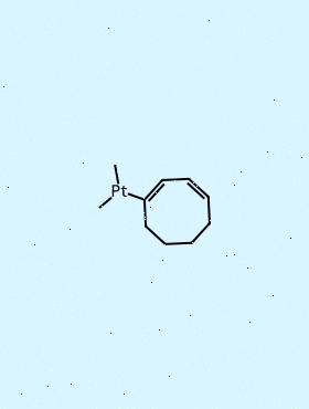 [CH3][Pt]([CH3])/[C]1=C/C=C\CCCC1